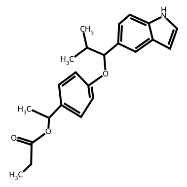 CCC(=O)OC(C)c1ccc(OC(c2ccc3[nH]ccc3c2)C(C)C)cc1